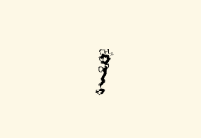 C[C@@H]1CC[C@@H](OC(=O)CCCC[C@@H]2CCSS2)CO1